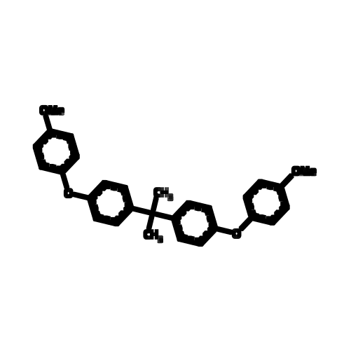 COc1ccc(Oc2ccc(C(C)(C)c3ccc(Oc4ccc(OC)cc4)cc3)cc2)cc1